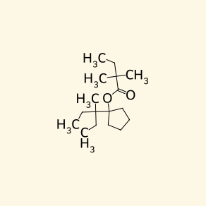 CCC(C)(C)C(=O)OC1(C(C)(CC)CC)CCCC1